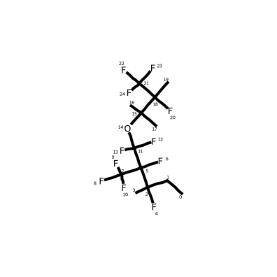 CCC(C)(F)C(F)(C(F)(F)F)C(F)(F)OC(C)(C)C(C)(F)C(F)(F)F